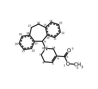 COC(=O)C1=CCCN(C2c3ccccc3CCc3ccccc32)C1